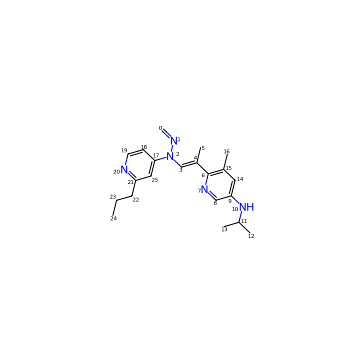 C=NN(/C=C(\C)c1ncc(NC(C)C)cc1C)c1ccnc(CCC)c1